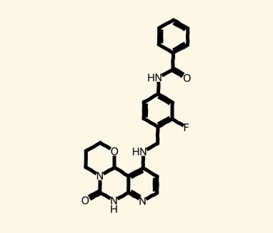 O=C(Nc1ccc(CNc2ccnc3c2C2OCCCN2C(=O)N3)c(F)c1)c1ccccc1